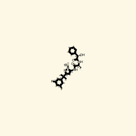 C[C@H](NC(=O)[C@@H](O)c1ccccc1)C(=O)Nc1cc(C(C)(C)c2cc(F)cc(F)c2)nn1C(C)(C)C